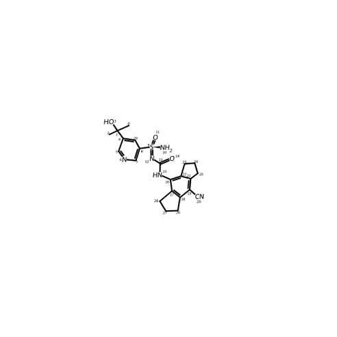 CC(C)(O)c1cncc([S@](N)(=O)=NC(=O)Nc2c3c(c(C#N)c4c2CCC4)CCC3)c1